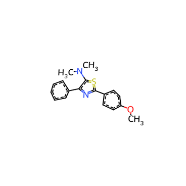 COc1ccc(-c2nc(-c3ccccc3)c(N(C)C)s2)cc1